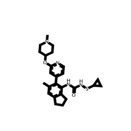 Cc1cc2c(c(NC(=O)NSC3CC3)c1-c1ccnc(OC3CCN(C)CC3)c1)CCC2